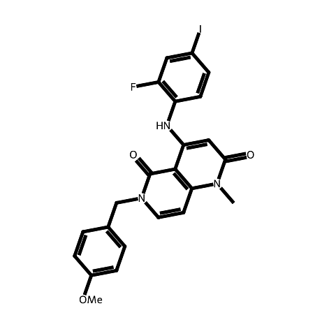 COc1ccc(Cn2ccc3c(c(Nc4ccc(I)cc4F)cc(=O)n3C)c2=O)cc1